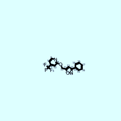 FC(F)(F)c1ccnc(OCc2cc(-c3ccccc3)no2)c1